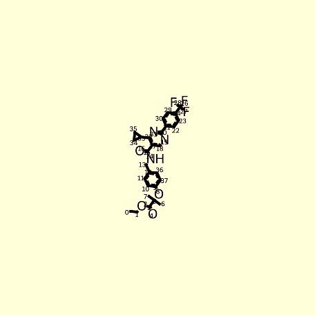 CCOC(=O)C(C)(C)Oc1ccc(CNC(=O)c2cnc(-c3ccc(C(F)(F)F)cc3)nc2C2CC2)cc1